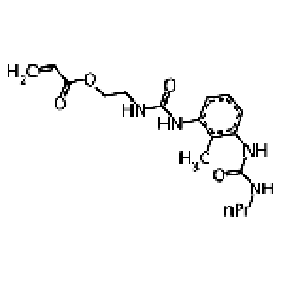 C=CC(=O)OCCNC(=O)Nc1cccc(NC(=O)NCCC)c1C